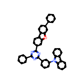 c1ccc(-c2ccc3c(c2)oc2cc(-c4nc(-c5ccccc5)nc(-c5cccc(-n6c7ccccc7c7ccccc76)c5)n4)ccc23)cc1